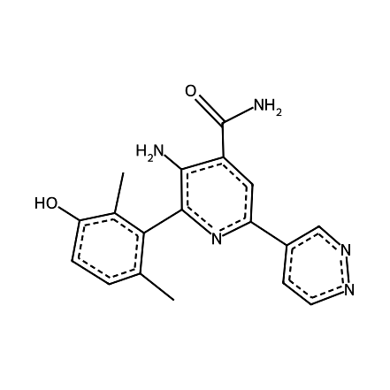 Cc1ccc(O)c(C)c1-c1nc(-c2ccnnc2)cc(C(N)=O)c1N